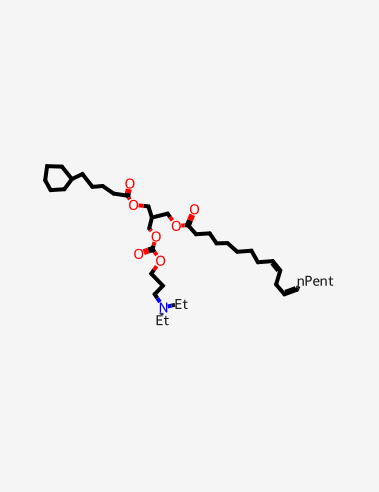 CCCCC/C=C\C/C=C\CCCCCCCC(=O)OCC(COC(=O)CCCCC1CCCCC1)COC(=O)OCCCN(CC)CC